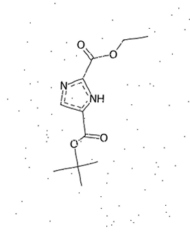 CCOC(=O)c1ncc(C(=O)OC(C)(C)C)[nH]1